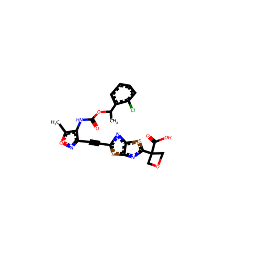 Cc1onc(C#Cc2nc3sc(C4(C(=O)O)COC4)nc3s2)c1NC(=O)OC(C)c1ccccc1Cl